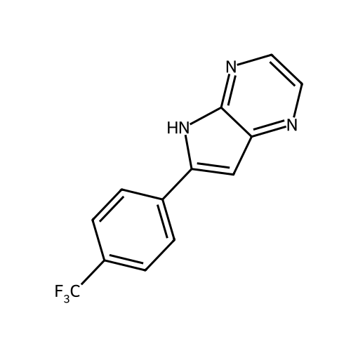 FC(F)(F)c1ccc(-c2cc3nccnc3[nH]2)cc1